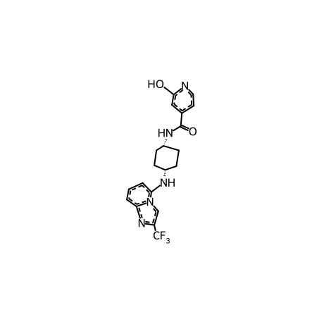 O=C(N[C@H]1CC[C@@H](Nc2cccc3nc(C(F)(F)F)cn23)CC1)c1ccnc(O)c1